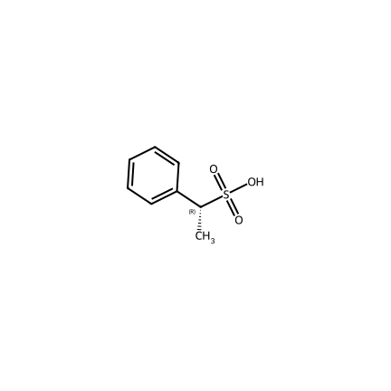 C[C@H](c1ccccc1)S(=O)(=O)O